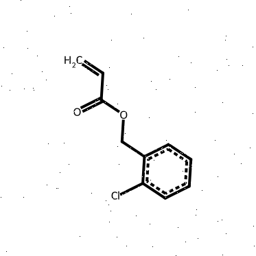 C=CC(=O)OCc1ccccc1Cl